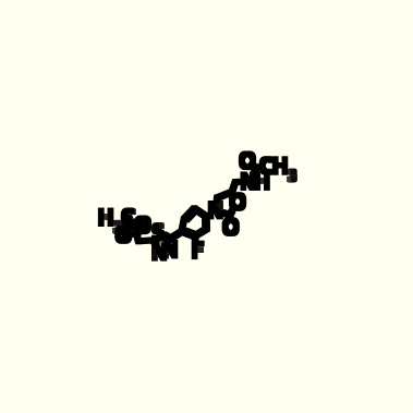 CC(=O)NCC1CN(c2ccc(-c3nnc(CS(C)(=O)=O)s3)c(F)c2)C(=O)O1